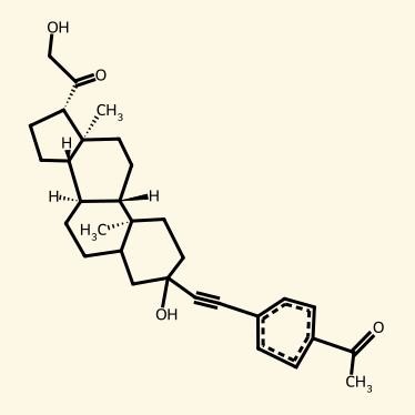 CC(=O)c1ccc(C#CC2(O)CC[C@@]3(C)C(CC[C@H]4[C@@H]5CC[C@H](C(=O)CO)[C@@]5(C)CC[C@@H]43)C2)cc1